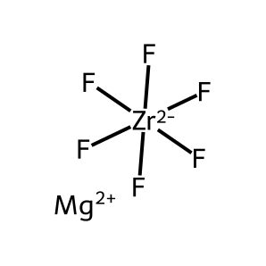 [F][Zr-2]([F])([F])([F])([F])[F].[Mg+2]